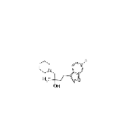 CC(O)(CCc1noc2cc(F)ccc12)CN1CCCCC1